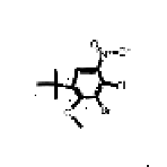 COc1c(C(C)(C)C)cc([N+](=O)[O-])c(Cl)c1Br